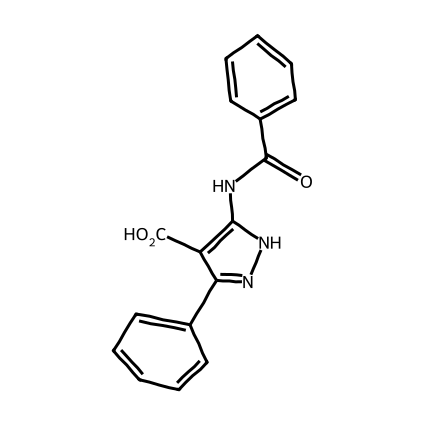 O=C(Nc1[nH]nc(-c2ccccc2)c1C(=O)O)c1ccccc1